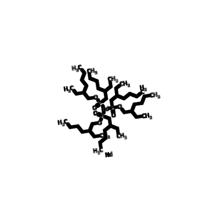 CCCCC(CC)CO[P](=O)(CC(CC)CCCC)[Nd]([P](=O)(CC(CC)CCCC)OCC(CC)CCCC)[P](=O)(CC(CC)CCCC)OCC(CC)CCCC.[Nd]